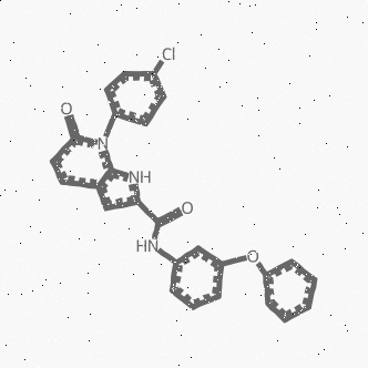 O=C(Nc1cccc(Oc2ccccc2)c1)c1cc2ccc(=O)n(-c3ccc(Cl)cc3)c2[nH]1